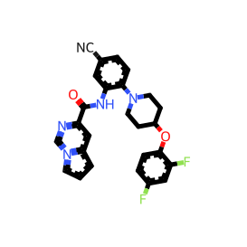 N#Cc1ccc(N2CCC(Oc3ccc(F)cc3F)CC2)c(NC(=O)c2cc3cccn3cn2)c1